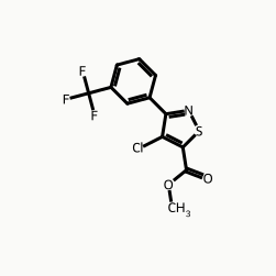 COC(=O)c1snc(-c2cccc(C(F)(F)F)c2)c1Cl